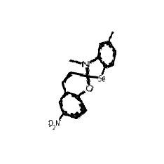 Cc1ccc2c(c1)N(C)C1(C=Cc3cc([N+](=O)[O-])ccc3O1)[Se]2